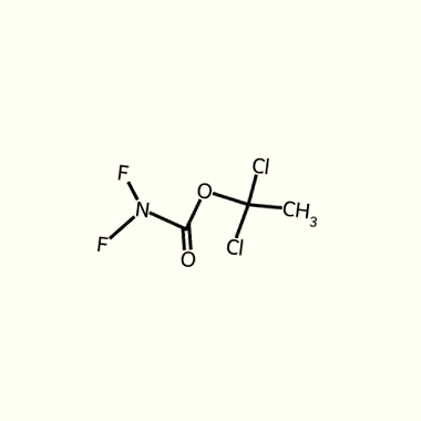 CC(Cl)(Cl)OC(=O)N(F)F